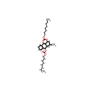 CCCCCCCCOC(=O)Oc1c2ccccc2c(OC(=O)OCCCCCCCC)c2cc(C)ccc12